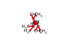 CCCCCCCCCCCCN(CCCCCCCCCCCC)CCCCCCCNC(=O)C12CC3CC(C(=O)NCCCCCCCN(CCCCCCCCCCCC)CCCCCCCCCCCC)(C1)CC(C(=O)NCCCCCCCN(CCCCCCCCCCCC)CCCCCCCCCCCC)(C3)C2